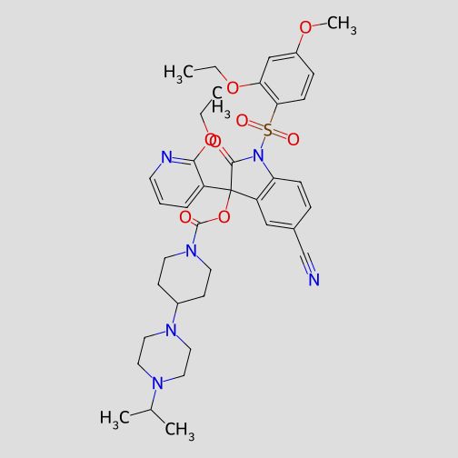 CCOc1cc(OC)ccc1S(=O)(=O)N1C(=O)C(OC(=O)N2CCC(N3CCN(C(C)C)CC3)CC2)(c2cccnc2OCC)c2cc(C#N)ccc21